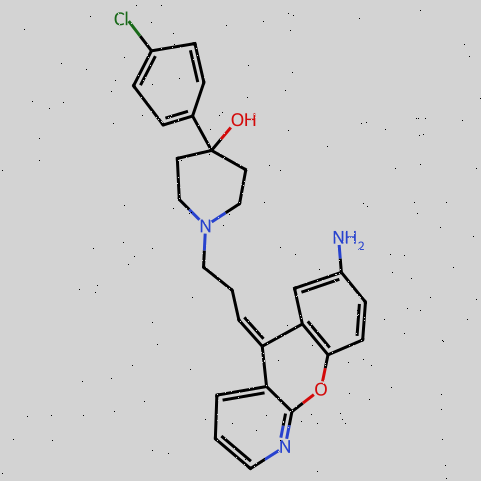 Nc1ccc2c(c1)C(=CCCN1CCC(O)(c3ccc(Cl)cc3)CC1)c1cccnc1O2